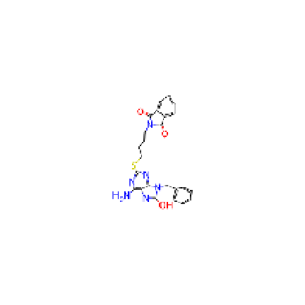 Nc1nc(SCCCCN2C(=O)c3ccccc3C2=O)nc2c1nc(O)n2Cc1ccccc1